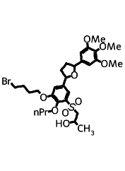 CCCOc1c(OCCCCBr)cc(C2CCC(c3cc(OC)c(OC)c(OC)c3)O2)cc1S(=O)(=O)CC(C)O